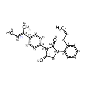 C=CCc1ccccc1N1CC(=O)N(c2ccc(/C(C)=N/O)cc2)C1=O